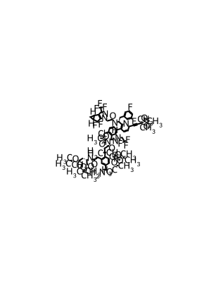 CC(C)OP(=O)(Oc1cc(C(N)=O)cc(CC(=O)N[C@@H](CC(=O)OC(C)(C)C)C(=O)OC(C)(C)C)c1C(C)(C)CC(=O)N(c1nn(CC(F)(F)F)c2c(-c3ccc(C#CC(C)(C)S(C)(=O)=O)nc3[C@H](Cc3cc(F)cc(F)c3)NC(=O)Cn3nc(C(F)(F)F)c4c3C(F)(F)[C@@H]3C[C@H]43)ccc(Cl)c12)S(C)(=O)=O)OC(C)C